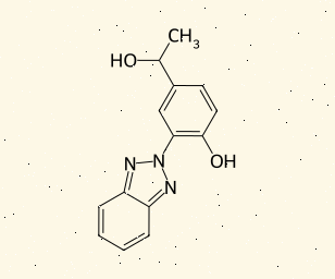 CC(O)c1ccc(O)c(-n2nc3ccccc3n2)c1